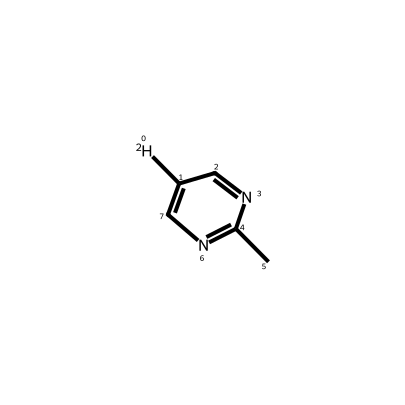 [2H]c1cnc(C)nc1